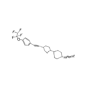 CCCCCC1CCC(C2CCC(C#Cc3ccc(OC(F)(F)C(F)F)cc3)CC2)CC1